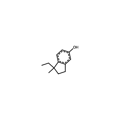 CCC1(C)CCc2cc(O)ccc21